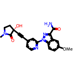 COc1ccc2c(c1)c(C(N)=O)nn2-c1cc(C#C[C@]2(O)CCN(C)C2=O)ccn1